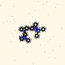 c1ccc(-c2cc(-c3ccccc3)nc(-n3c4ccccc4c4cc(-c5ccc6c7ccccc7n(-c7ccc8c(c7)c7ncccc7n8-c7ccccc7)c6c5)ccc43)n2)cc1